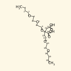 CCCCOCCOCCOC(CCOCCOCCCC)(CC(=O)O)C(=O)O